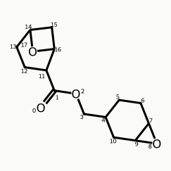 O=C(OCC1CCC2OC2C1)C1CCC2CC1O2